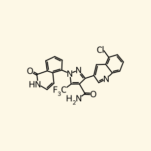 NC(=O)c1c(-c2cnc3cccc(Cl)c3c2)nn(-c2cccc3c(=O)[nH]ccc23)c1C(F)(F)F